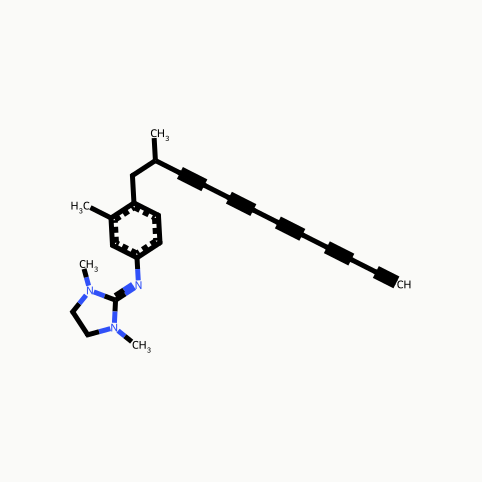 C#CC#CC#CC#CC#CC(C)Cc1ccc(N=C2N(C)CCN2C)cc1C